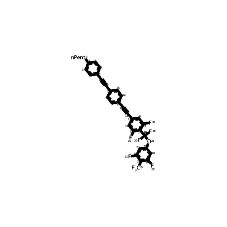 CCCCCc1ccc(C#Cc2ccc(C#Cc3cc(F)c(C(F)(F)Oc4cc(F)c(C(F)(F)F)c(F)c4)c(F)c3)cc2)cc1